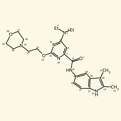 CCN(CC)c1cc(C(=O)Nc2ccc3[nH]c(C)c(C)c3c2)nc(OCCN2CCOCC2)n1